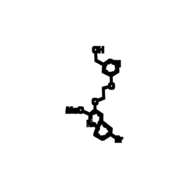 COc1nc2ccc(Br)cc2cc1OCCOc1cncc(CO)c1